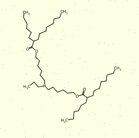 CCCCCCCCC(CCCCCC)C(=O)OCCCCCCN(CCC)CCCCCCOC(=O)C(CCCCCC)CCCCCCCC